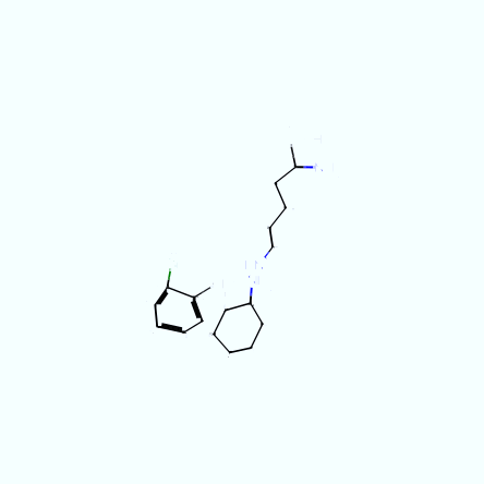 NC1CCCCC1.NCCCCC(N)C(=O)O.O=Cc1ccccc1Br